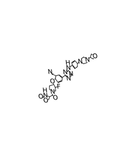 N#CC1C=C(c2ncnc(NC3=CCC(N4CCN(C5COC5)CC4)C=C3)n2)C=CC1OC1CCN(C(=O)C2COC(=O)N2)CC1F